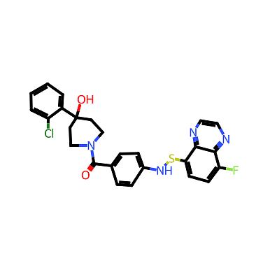 O=C(c1ccc(NSc2ccc(F)c3nccnc23)cc1)N1CCC(O)(c2ccccc2Cl)CC1